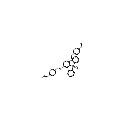 C=Cc1ccc(COc2ccc(OCc3ccc(C=CI)cc3)cc2P(=O)(c2ccccc2)c2ccccc2)cc1